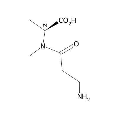 C[C@@H](C(=O)O)N(C)C(=O)CCN